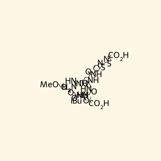 CC[C@H](C)[C@H](NC(=O)COCCOCCOC)C(=O)N[C@@H](CCC(=O)O)C(=O)NCC(=O)N[C@@H](CCCNC(=N)N)C(=O)Nc1ccc2nc(C3=N[C@@H](C(=O)O)CS3)sc2c1